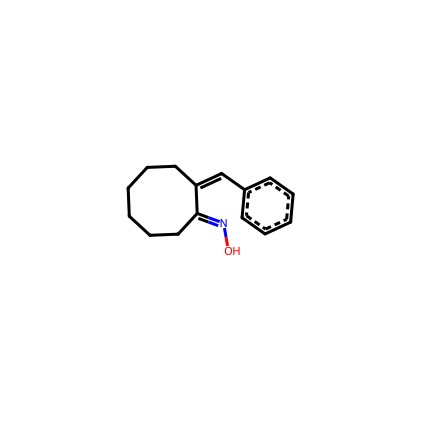 O/N=C1\CCCCCC\C1=C\c1ccccc1